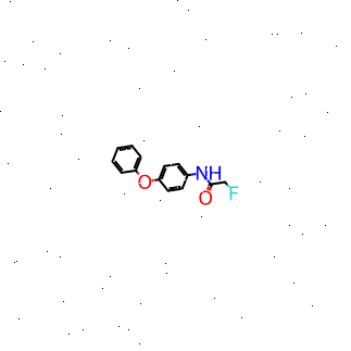 O=C(CF)Nc1ccc(Oc2ccccc2)cc1